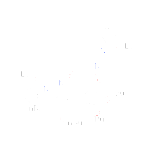 CCCCOc1ccc(C2c3cc(OCCCC)c(OCCCC)cc3C(CC(=O)N3CCN(c4ccccc4OCC)CC3)C2C(=O)N2CCN(c3ccccc3OCC)CC2)cc1OCCCC